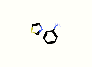 Nc1ccccc1.c1cscn1